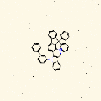 c1ccc(-c2cccc(-n3c4ccccc4c4cnc5c6c(ccc5c43)-c3ccccc3C6(c3ccccc3)c3ccccc3)c2)cc1